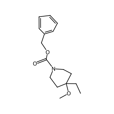 CCC1(OC)CCN(C(=O)OCc2ccccc2)CC1